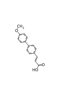 COc1ccc(-c2ccc(C=CC(=O)O)cc2)cc1